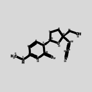 CNc1ccn([C@H]2CC[C@](CO)(N=[N+]=[N-])O2)c(=O)n1